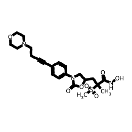 CC(CC1CN(c2ccc(C#CCCN3CCOCC3)cc2)C(=O)O1)(C(=O)NO)S(C)(=O)=O